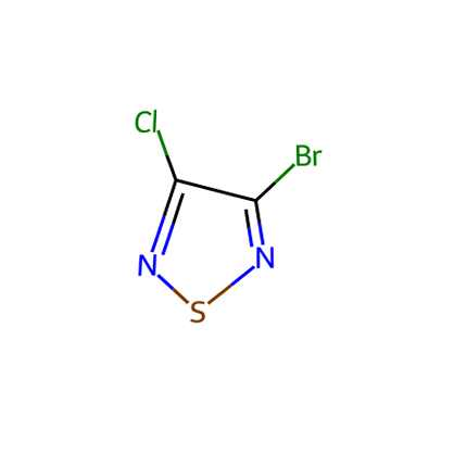 Clc1nsnc1Br